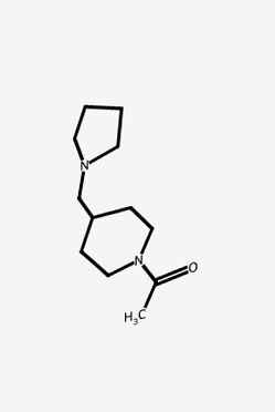 CC(=O)N1CCC(CN2CCCC2)CC1